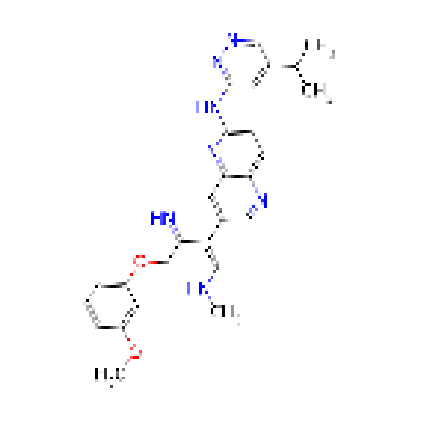 CN/C=C(\C(=N)COc1cccc(OC)c1)c1cnc2ccc(Nc3cc(C(C)C)cnn3)nc2c1